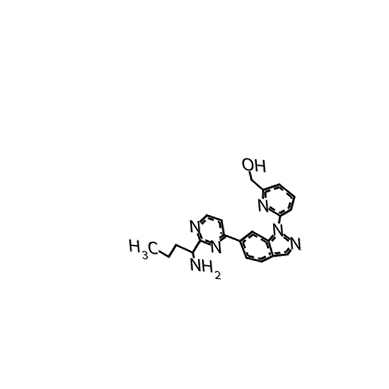 CCCC(N)c1nccc(-c2ccc3cnn(-c4cccc(CO)n4)c3c2)n1